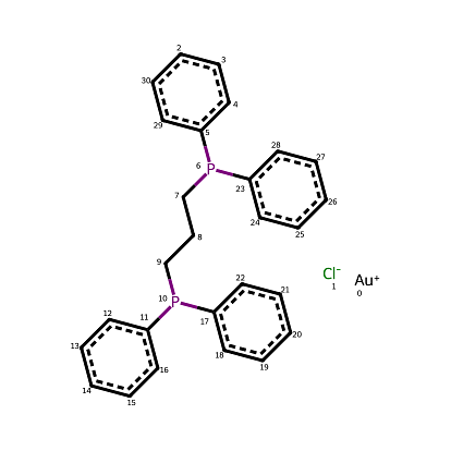 [Au+].[Cl-].c1ccc(P(CCCP(c2ccccc2)c2ccccc2)c2ccccc2)cc1